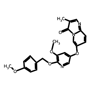 COc1ccc(COc2ncc(Oc3ccc4ncc(C)c(=O)n4c3)cc2OC)cc1